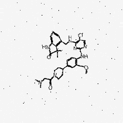 COc1cc(C2CCN(C(=O)CN(C)C)CC2)ccc1Nc1ncc(Cl)c(NCc2cccc3c2C(C)(C)C(=O)N3)n1